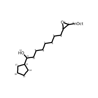 CCCCCCCCC1OC1CCCCCCCC(O)C1CCCC1